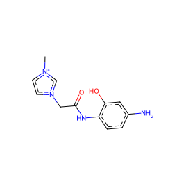 C[n+]1ccn(CC(=O)Nc2ccc(N)cc2O)c1